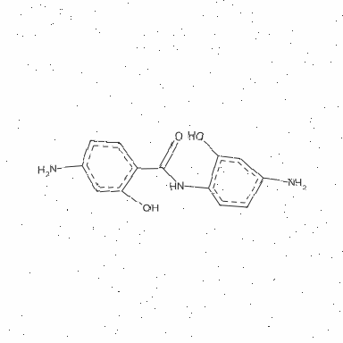 Nc1ccc(NC(=O)c2ccc(N)cc2O)c(O)c1